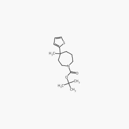 CC(C)(C)OC(=O)N1CCCC(C)(c2cccs2)CC1